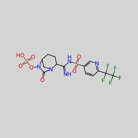 N=C(NS(=O)(=O)c1ccc(C(F)(F)C(F)(F)F)nc1)C1CCC2CN1C(=O)N2OS(=O)(=O)O